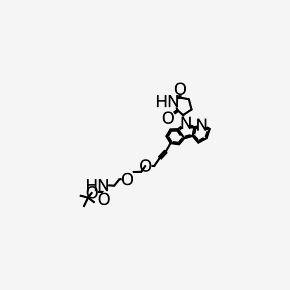 CC(C)(C)OC(=O)NCCOCCOCC#Cc1ccc2c(c1)c1cccnc1n2C1CCC(=O)NC1=O